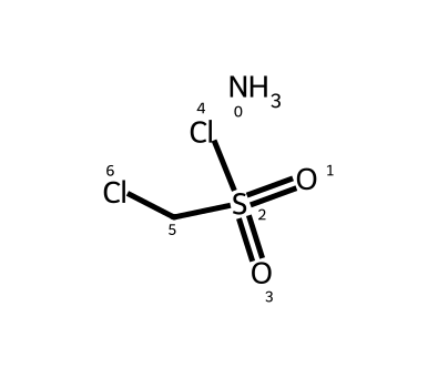 N.O=S(=O)(Cl)CCl